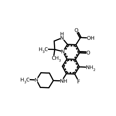 CN1CCC(Nc2cc3c(c(N)c2F)c(=O)c(C(=O)O)c2n3C(C)(C)CN2)CC1